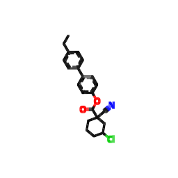 CCc1ccc(-c2ccc(OC(=O)C3(C#N)CCCC(Cl)C3)cc2)cc1